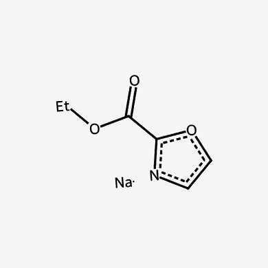 CCOC(=O)c1ncco1.[Na]